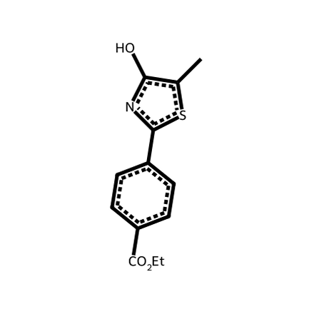 CCOC(=O)c1ccc(-c2nc(O)c(C)s2)cc1